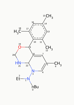 CCCCN(CC)N1C=C(C)C=C2C(c3c(C)cc(C)cc3C)OCNC21